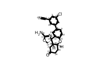 N#Cc1cc(Cl)cc(-c2ccc3c(c2)[C@@]2(COC(N)=N2)[C@H]2CC(=O)CC[C@@H]2O3)c1